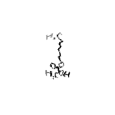 CCCCCCCOC(=O)[C@@H](C)O